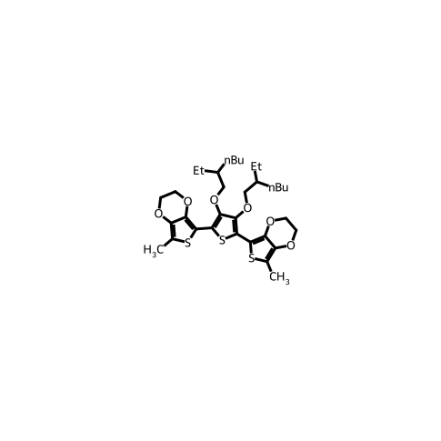 CCCCC(CC)COc1c(-c2sc(C)c3c2OCCO3)sc(-c2sc(C)c3c2OCCO3)c1OCC(CC)CCCC